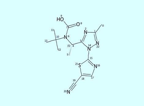 Cc1nc([C@H](C)N(C(=O)O)C(C)(C)C)n(-c2ncc(C#N)s2)n1